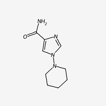 NC(=O)c1cn(N2CCCCC2)cn1